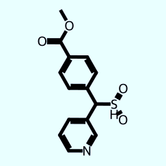 COC(=O)c1ccc(C(c2cccnc2)[SH](=O)=O)cc1